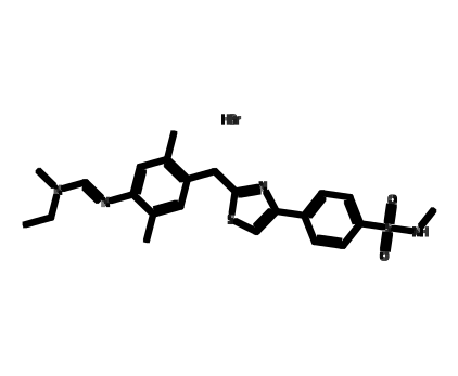 Br.CCN(C)/C=N/c1cc(C)c(Cc2nc(-c3ccc(S(=O)(=O)NC)cc3)cs2)cc1C